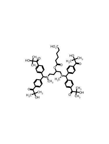 CN(CCC(CN(C)C(c1ccc(C(=O)C(C)(C)O)cc1)c1ccc(C(=O)C(C)(C)O)cc1)OC(=O)CCCCC(=O)O)C(c1ccc(C(=O)C(C)(C)O)cc1)c1ccc(C(=O)C(C)(C)O)cc1